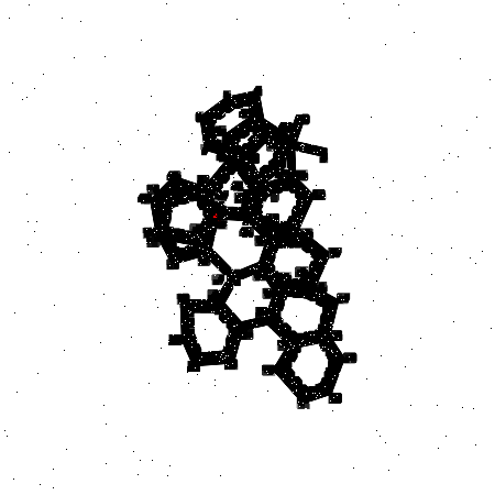 CC1(C)c2ccccc2-c2c(-c3ccccc3N(c3ccccc3-c3cccc4ccccc34)c3ccccc3-n3c4ccccc4c4ccccc43)cccc21